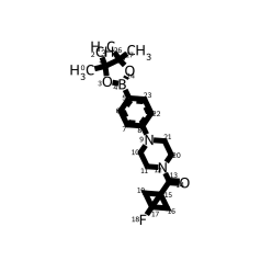 CC1(C)OB(c2ccc(N3CCN(C(=O)C45CC4(F)C5)CC3)cc2)OC1(C)C